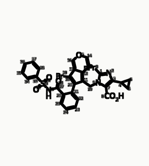 CCCc1nc(C2CC2)c(C(=O)O)n1Cc1c2ccocc-2c(Br)c1-c1ccccc1C(=O)NS(=O)(=O)c1ccccc1